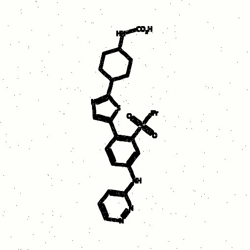 CC(C)S(=O)(=O)c1cc(Nc2cccnn2)ccc1-c1cnc(C2CCC(NC(=O)O)CC2)s1